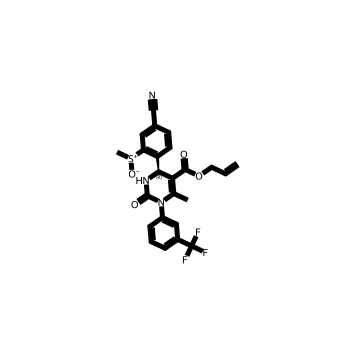 C=CCOC(=O)C1=C(C)N(c2cccc(C(F)(F)F)c2)C(=O)N[C@H]1c1ccc(C#N)cc1[S+](C)[O-]